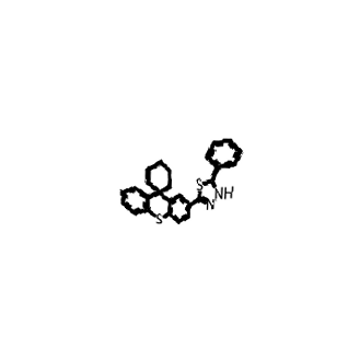 c1ccc(C2NN=C(c3ccc4c(c3)C3(CCCCC3)c3ccccc3S4)S2)cc1